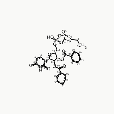 CCCOP(=O)(O)OP(=O)(O)OC[C@H]1O[C@@H](n2ccc(=O)[nH]c2=O)C(OC(=O)c2ccccc2)[C@H]1OC(=O)c1ccccc1